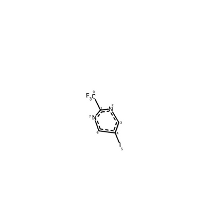 FC(F)(F)c1ncc(I)cn1